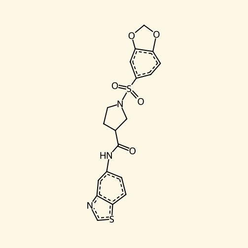 O=C(Nc1ccc2scnc2c1)C1CCN(S(=O)(=O)c2ccc3c(c2)OCO3)C1